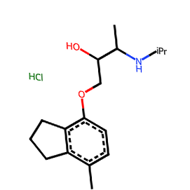 Cc1ccc(OCC(O)C(C)NC(C)C)c2c1CCC2.Cl